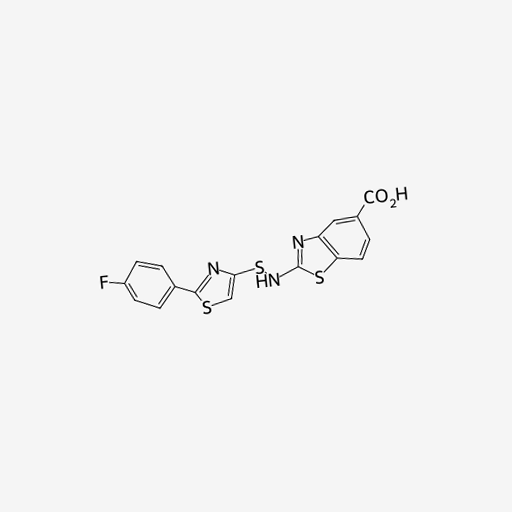 O=C(O)c1ccc2sc(NSc3csc(-c4ccc(F)cc4)n3)nc2c1